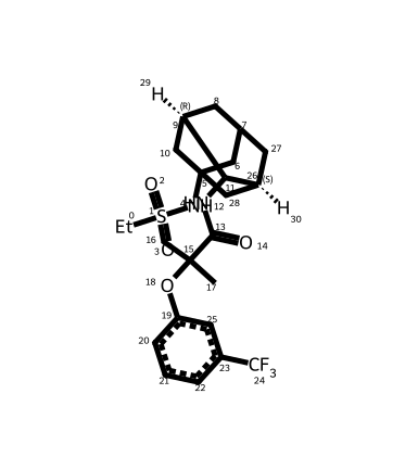 CCS(=O)(=O)NC12CC3C[C@H](C1)C(NC(=O)C(C)(C)Oc1cccc(C(F)(F)F)c1)[C@@H](C3)C2